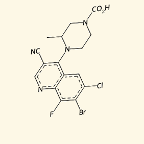 CC1CN(C(=O)O)CCN1c1c(C#N)cnc2c(F)c(Br)c(Cl)cc12